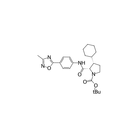 Cc1noc(-c2ccc(NC(=O)[C@@H]3[C@H](C4CCCCC4)CCN3C(=O)OC(C)(C)C)cc2)n1